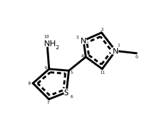 Cn1cnc(-c2sccc2N)c1